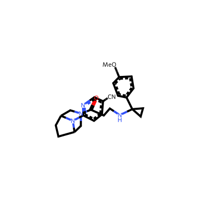 COc1ccc(C2(NCCC(=O)N3CC4CCC(C3)N4c3ccc(C#N)cn3)CC2)cc1